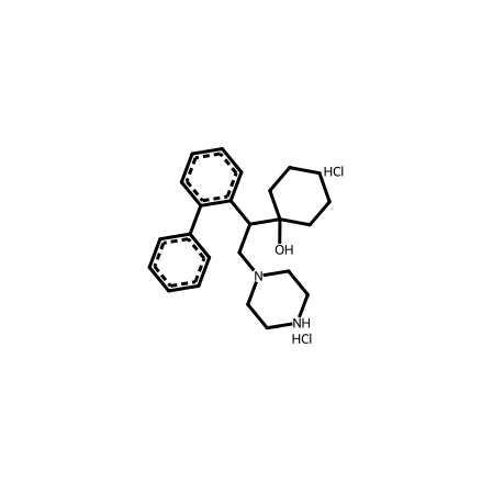 Cl.Cl.OC1(C(CN2CCNCC2)c2ccccc2-c2ccccc2)CCCCC1